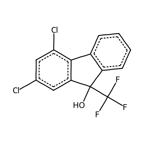 OC1(C(F)(F)F)c2ccccc2-c2c(Cl)cc(Cl)cc21